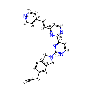 C#CCc1ccc2c(c1)CN(c1nccc(-c3nccc(/C=C/c4ccncc4)n3)n1)C2